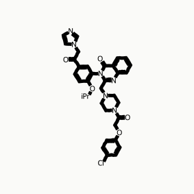 CC(C)Oc1ccc(C(=O)Cn2ccnc2)cc1-n1c(CN2CCN(C(=O)COc3ccc(Cl)cc3)CC2)nc2ccccc2c1=O